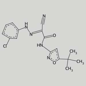 CC(C)(C)c1cc(NC(=O)/C(C#N)=N/Nc2cccc(Cl)c2)no1